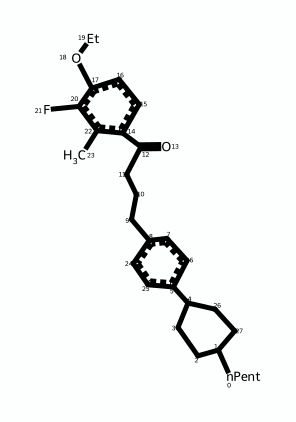 CCCCCC1CCC(c2ccc(CCCC(=O)c3ccc(OCC)c(F)c3C)cc2)CC1